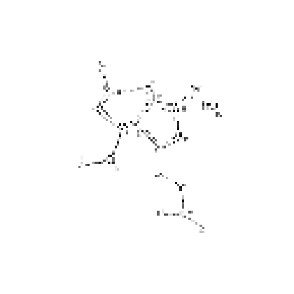 CCCOc1cc(F)cc2c1c(CCN(C)C)cn2CCC.Cl